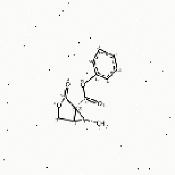 CC1C2COC(=O)[C@@]12C(=O)Oc1ccccc1